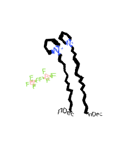 CCCCCCCCCCCCCCCCCCCCCCCC[n+]1ccccc1.CCCCCCCCCCCCCCCCCCCCCC[n+]1ccccc1.F[B-](F)(F)F.F[B-](F)(F)F